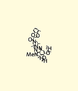 [2H]C([2H])(C)Oc1cc2c(NC)nc(N3C(C)CN(C(=O)C4COc5c(C)cccc5O4)CC3(C)C)nc2cc1OC([2H])(C)C